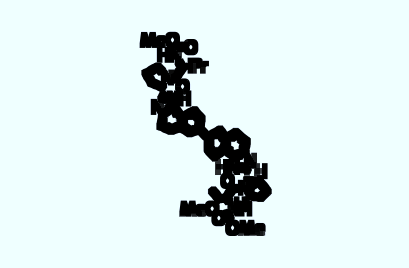 COC(=O)NC(C(=O)N1[C@@H]2CC[C@@H](C2)[C@H]1c1nc2ccc3cc(-c4ccc5c(ccc6nc([C@@H]7CCCN7C(=O)[C@@H](NC(=O)OC)C(C)C)[nH]c65)c4)ccc3c2[nH]1)[C@@H](C)OC